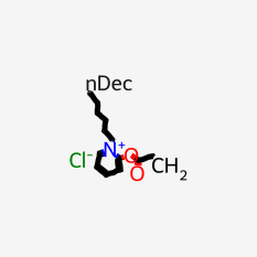 C=CC(=O)Oc1cccc[n+]1CCCCCCCCCCCCCCCC.[Cl-]